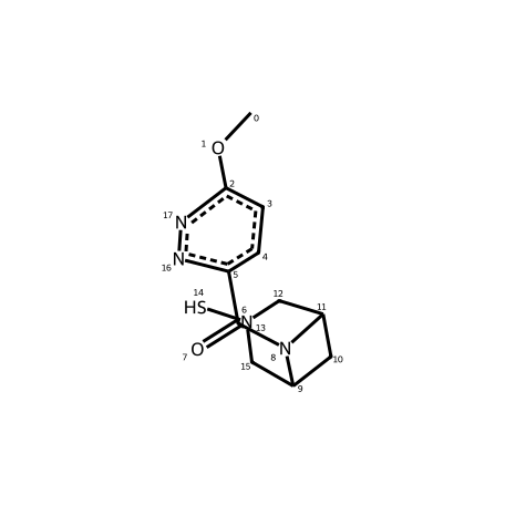 COc1ccc(C(=O)N2C3CC2CN(S)C3)nn1